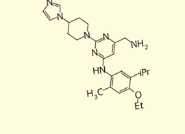 CCOc1cc(C)c(Nc2cc(CN)nc(N3CCC(n4ccnc4)CC3)n2)cc1C(C)C